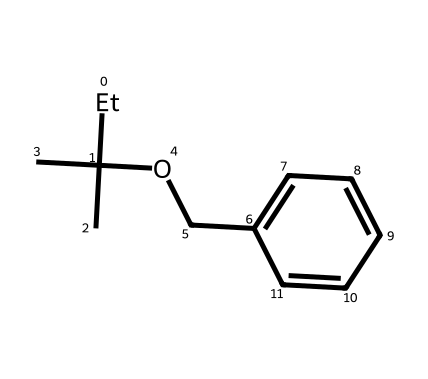 CCC(C)(C)OCc1ccccc1